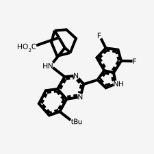 CC(C)(C)c1cccc2c(NC3C4CCC(CC4)C3C(=O)O)nc(-c3c[nH]c4c(F)cc(F)cc34)nc12